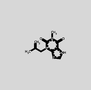 C=C(C)Cn1c(=O)n(C)c(=O)c2[nH]cnc21